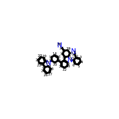 N#Cc1ccccc1N1C2=C(C(C3C=CCC(N4c5ccccc5C5C=CC=CC54)C3)=CCC2)C2CC(C#N)CCC21